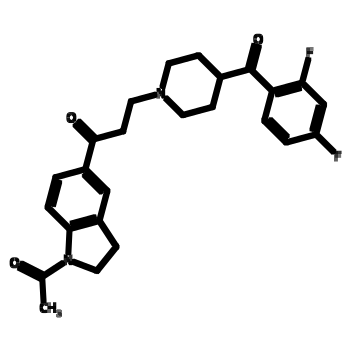 CC(=O)N1CCc2cc(C(=O)CCN3CCC(C(=O)c4ccc(F)cc4F)CC3)ccc21